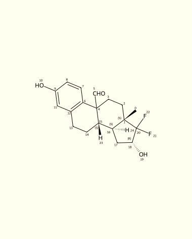 C[C@]12CCC3(C=O)c4ccc(O)cc4CC[C@H]3[C@@H]1C[C@@H](O)C2(F)F